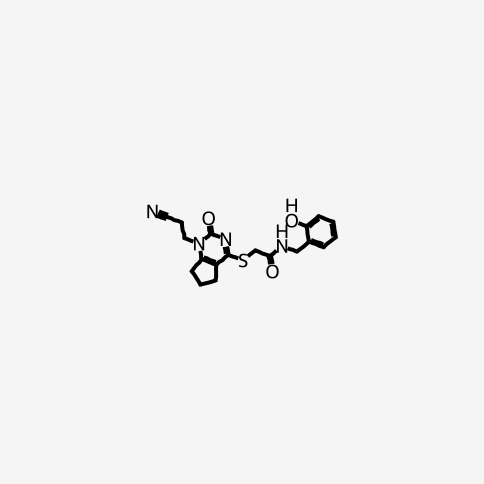 N#CCCn1c2c(c(SCC(=O)NCc3ccccc3O)nc1=O)CCC2